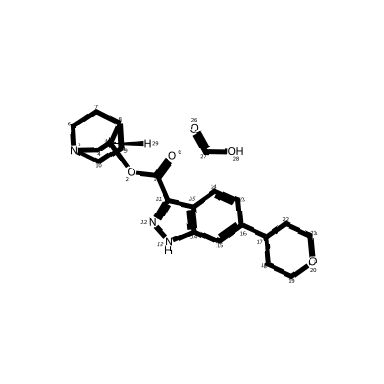 O=C(O[C@@H]1CN2CCC1CC2)c1n[nH]c2cc(C3CCOCC3)ccc12.O=CO